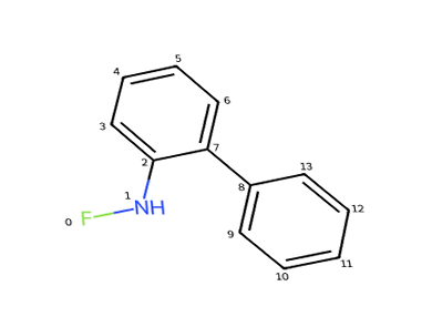 FNc1ccccc1-c1ccccc1